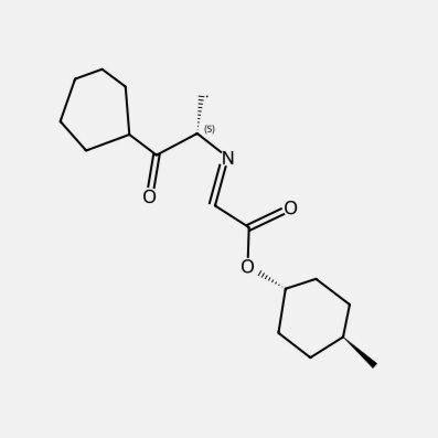 [CH2][C@H](N=CC(=O)O[C@H]1CC[C@H](C)CC1)C(=O)C1CCCCC1